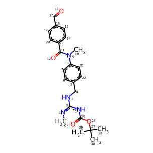 C/N=C(/NCc1ccc(N(C)C(=O)c2ccc(C=O)cc2)cc1)NC(=O)OC(C)(C)C